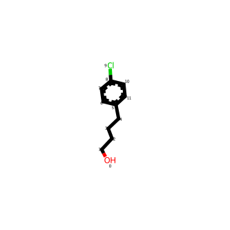 OCCC[CH]c1ccc(Cl)cc1